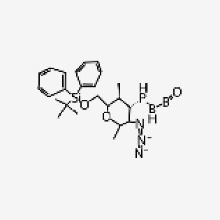 CC1OC(CO[Si](c2ccccc2)(c2ccccc2)C(C)(C)C)[C@@H](C)[C@H](PBB=O)C1N=[N+]=[N-]